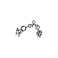 O=C(N1CC(c2ccc(C3(C(F)(F)F)CC3)cc2)C1)N1CC[C@@H](n2ncnn2)C1